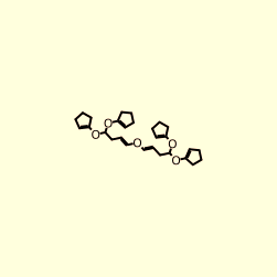 C(=COC=CCC(OC1=CCCC1)OC1=CCCC1)CC(OC1=CCCC1)OC1=CCCC1